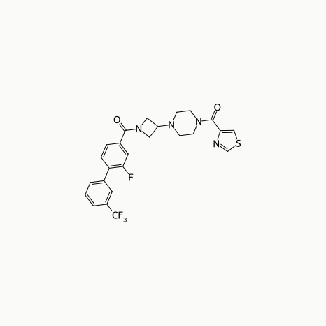 O=C(c1ccc(-c2cccc(C(F)(F)F)c2)c(F)c1)N1CC(N2CCN(C(=O)c3cscn3)CC2)C1